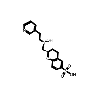 O=S(=O)(O)c1ccc2c(c1)CC[C@H](CN(O)CCc1cccnc1)O2